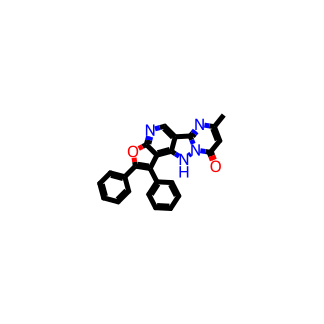 Cc1cc(=O)n2[nH]c3c(cnc4oc(-c5ccccc5)c(-c5ccccc5)c43)c2n1